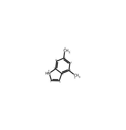 Cc1cc(C)c2c[c][nH]c2c1